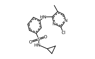 Cc1cnc(Cl)nc1Nc1cccc(S(=O)(=O)NC2CC2)c1